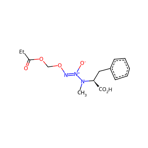 CCC(=O)OCO/N=[N+](\[O-])N(C)[C@@H](Cc1ccccc1)C(=O)O